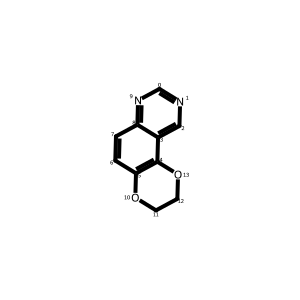 c1ncc2c3c(ccc2n1)OCCO3